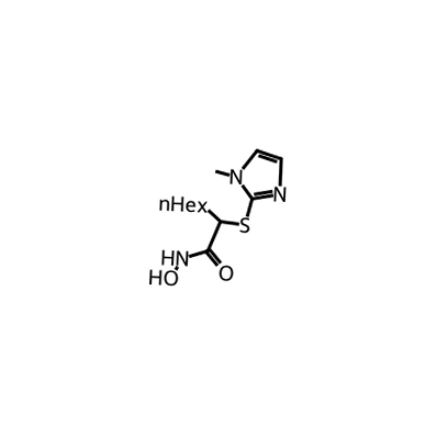 CCCCCCC(Sc1nccn1C)C(=O)NO